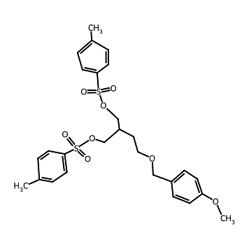 COc1ccc(COCCC(COS(=O)(=O)c2ccc(C)cc2)COS(=O)(=O)c2ccc(C)cc2)cc1